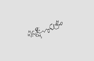 CC(C)(C)[S+]([O-])CCCCOc1ccc2c(c1)CCC(=O)N2